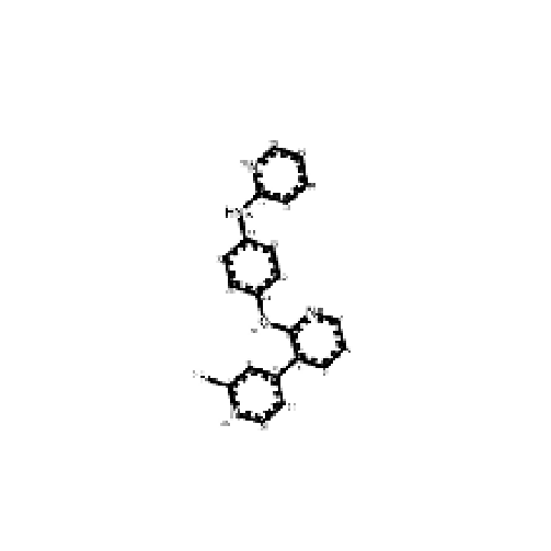 Fc1cc(-c2cccnc2Oc2ccc(Nc3ccccn3)cc2)ccn1